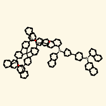 c1ccc(N(c2ccccc2)c2ccc3c(c2)C2(c4cc(N(c5ccccc5)c5ccccc5)ccc4-3)c3cc(N(c4ccccc4)c4ccccc4)ccc3-c3ccc(N(c4ccccc4)c4ccc(-c5ccc6c(N(c7ccc(-c8ccc(N(c9ccc%10ccccc%10c9)c9cccc%10ccccc9%10)cc8)cc7)c7ccc8ccccc8c7)cccc6c5)cc4)cc32)cc1